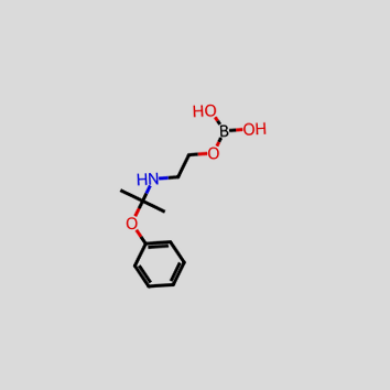 CC(C)(NCCOB(O)O)Oc1ccccc1